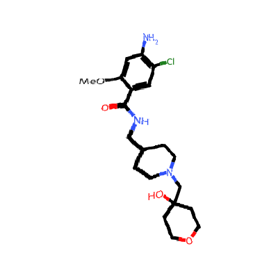 COc1cc(N)c(Cl)cc1C(=O)NCC1CCN(CC2(O)CCOCC2)CC1